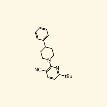 CC(C)(C)c1ccc(C#N)c(N2CCC(c3ccccc3)CC2)n1